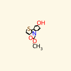 CCOC(=O)Cn1c2c(c3cc(O)ccc31)SCC=C2